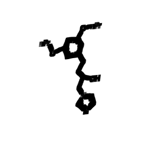 CCCOc1cc(CCC(O)Cn2ccnc2)cc(OCCC)c1